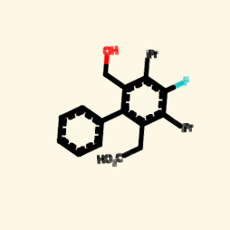 CC(C)c1c(F)c(C(C)C)c(CC(=O)O)c(-c2ccccc2)c1CO